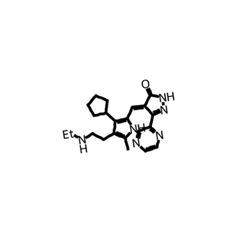 CCNCCc1c(C)[nH]c(/C=C2/C(=O)NN=C2c2cnccn2)c1C1CCCC1